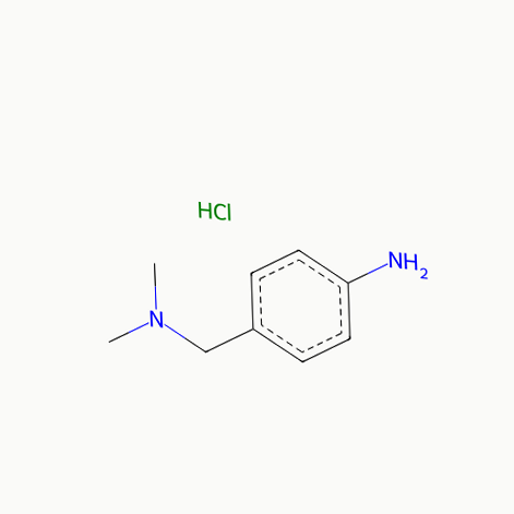 CN(C)Cc1ccc(N)cc1.Cl